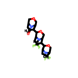 CN1C2COCC1C(C1OCC3C(C4OCC5N(C)C4CC5(F)F)C(F)(F)CC1N3C)C(=O)C2